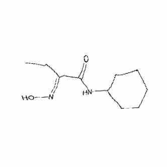 CCC(=NO)C(=O)NC1CCCCC1